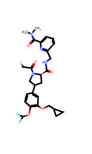 CN(C)C(=O)c1cccc(CNC(=O)[C@H]2CC(c3ccc(OC(F)F)c(OCC4CC4)c3)CN2C(=O)CF)n1